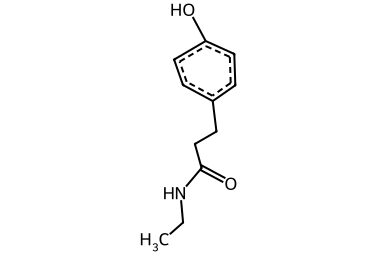 CCNC(=O)CCc1ccc(O)cc1